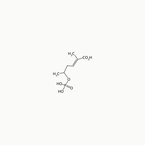 CC(=CCC(C)OP(=O)(O)O)C(=O)O